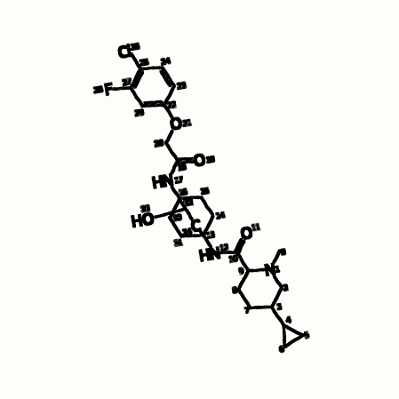 CN1CC(C2CC2)CCC1C(=O)NC12CCC(NC(=O)COc3ccc(Cl)c(F)c3)(CC1)C(O)C2